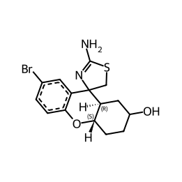 NC1=NC2(CS1)c1cc(Br)ccc1O[C@H]1CCC(O)C[C@@H]12